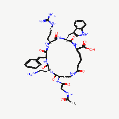 CC(=O)NCC(=O)NC1CCNC(=O)CCCC(C(=O)O)NC(=O)[C@H](Cc2c[nH]c3ccccc23)NC(=O)[C@H](CCCNC(=N)N)NC(=O)C(Cc2ccccc2)NC(=O)[C@H](CCN)NC1=O